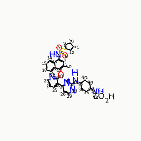 Cc1cc(NS(=O)(=O)C2CCCC2)c2ccccc2c1Oc1ncccc1-c1ccnc(N[C@H]2CC[C@H](NC(=O)O)CC2)n1